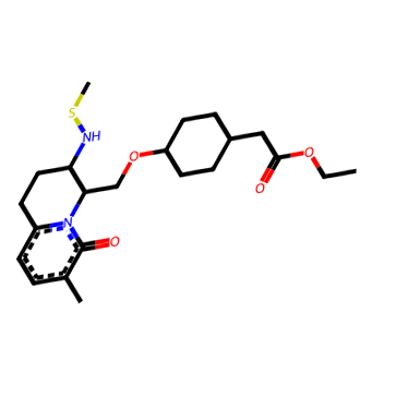 CCOC(=O)CC1CCC(OCC2C(NSC)CCc3ccc(C)c(=O)n32)CC1